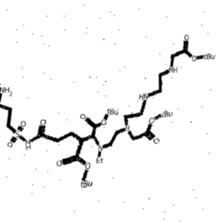 CCN(CCN(CCNCCNCC(=O)OC(C)(C)C)CC(=O)OC(C)(C)C)C(C(=O)OC(C)(C)C)C(CCC(=O)NS(=O)(=O)CCCN)C(=O)OC(C)(C)C